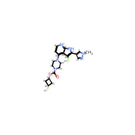 Cn1cc(-c2[nH]c3nccc(N4CCN(C(=O)O[C@H]5C[C@H](F)C5)CC4)c3c2F)cn1